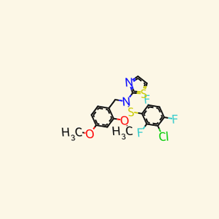 COc1ccc(CN(Sc2c(F)cc(F)c(Cl)c2F)c2nccs2)c(OC)c1